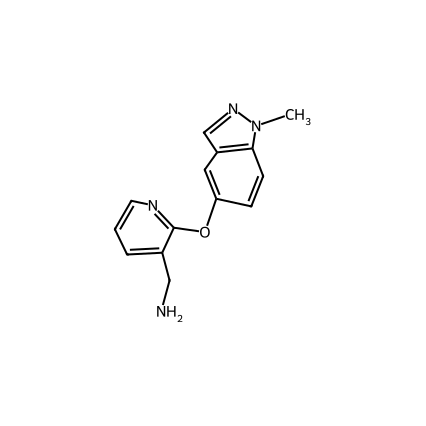 Cn1ncc2cc(Oc3ncccc3CN)ccc21